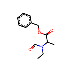 CCN([C]=O)C(C)C(=O)OCc1ccccc1